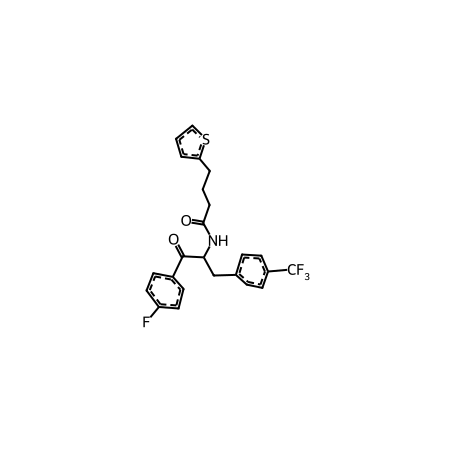 O=C(CCCc1cccs1)NC(Cc1ccc(C(F)(F)F)cc1)C(=O)c1ccc(F)cc1